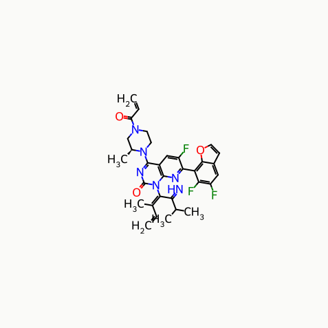 C=CC(=O)N1CCN(c2nc(=O)n(/C(C(=N)C(C)C)=C(\C)C=C)c3nc(-c4c(F)c(F)cc5ccoc45)c(F)cc23)[C@@H](C)C1